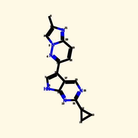 Cc1cn2nc(-c3c[nH]c4nc(C5CC5)ncc34)ccc2n1